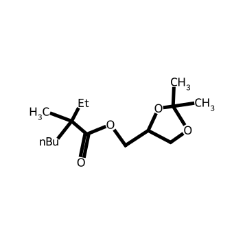 CCCCC(C)(CC)C(=O)OCC1COC(C)(C)O1